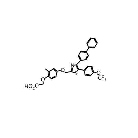 Cc1cc(OCc2nc(-c3ccc(-c4ccccc4)cc3)c(-c3ccc(OC(F)(F)F)cc3)s2)ccc1OCC(=O)O